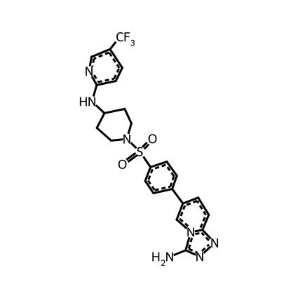 Nc1nnc2ccc(-c3ccc(S(=O)(=O)N4CCC(Nc5ccc(C(F)(F)F)cn5)CC4)cc3)cn12